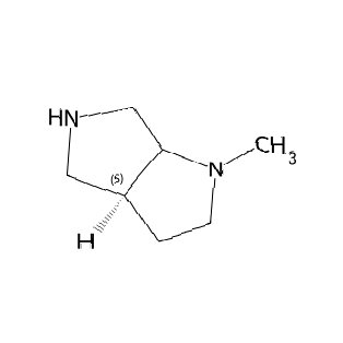 CN1CC[C@H]2CNCC21